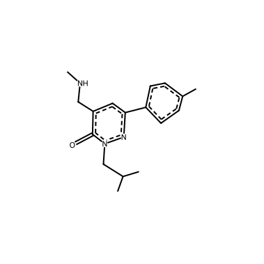 CNCc1cc(-c2ccc(C)cc2)nn(CC(C)C)c1=O